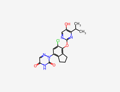 CC(C)c1nc(Oc2c(Cl)cc(-n3ncc(=O)[nH]c3=O)c3c2CCC3)ncc1O